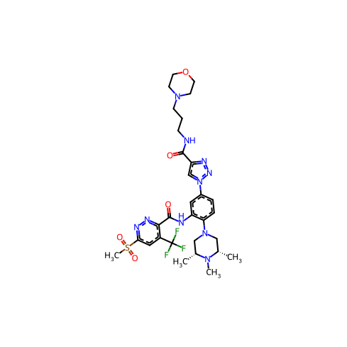 C[C@@H]1CN(c2ccc(-n3cc(C(=O)NCCCN4CCOCC4)nn3)cc2NC(=O)c2nnc(S(C)(=O)=O)cc2C(F)(F)F)C[C@H](C)N1C